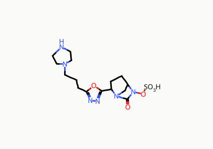 O=C1N2CC(CCC2c2nnc(CCCN3CCNCC3)o2)N1OS(=O)(=O)O